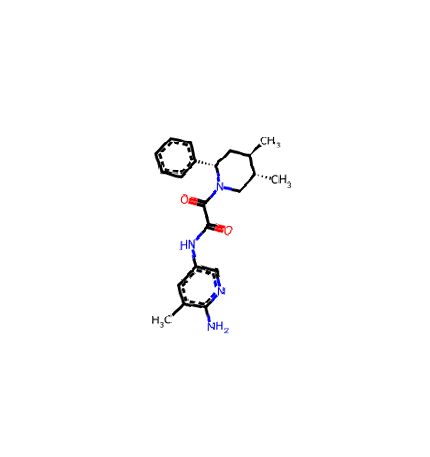 Cc1cc(NC(=O)C(=O)N2C[C@@H](C)[C@H](C)C[C@H]2c2ccccc2)cnc1N